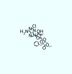 CCOC(=O)C(Cc1ccccc1)(OC[C@H]1O[C@@H](n2cnc3c(N)nc(Cl)nc32)[C@H](O)[C@H]1C)C(C)=O